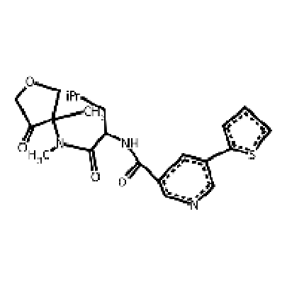 CC(C)CC(NC(=O)c1cncc(-c2cccs2)c1)C(=O)N(C)C1(C)COCC1=O